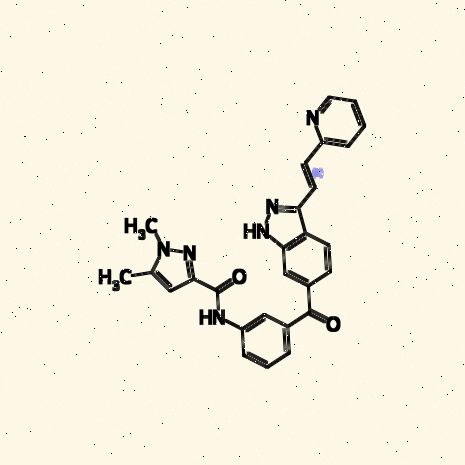 Cc1cc(C(=O)Nc2cccc(C(=O)c3ccc4c(/C=C/c5ccccn5)n[nH]c4c3)c2)nn1C